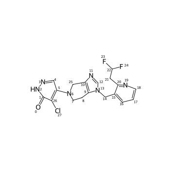 O=c1[nH]ncc(N2CCc3c(ncn3Cc3cccnc3CC(F)F)C2)c1Cl